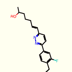 C=CCc1ccc(-c2ccc(/C=C/CCCC(C)O)nn2)cc1F